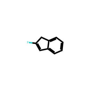 FC1=Cc2ccccc2[CH]1